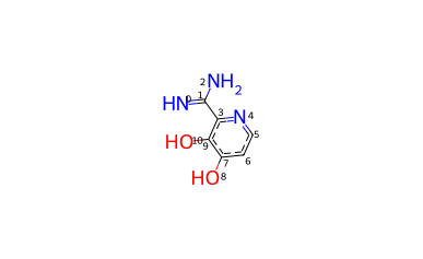 N=C(N)c1nccc(O)c1O